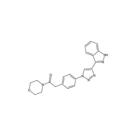 O=C(Cc1ccc(-n2cc(-c3n[nH]c4ccccc34)nn2)cc1)N1CCOCC1